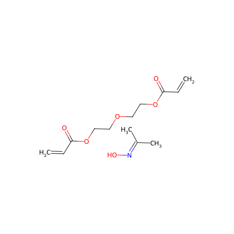 C=CC(=O)OCCOCCOC(=O)C=C.CC(C)=NO